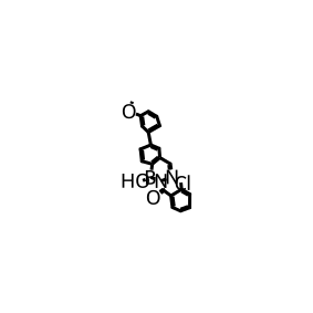 COc1cccc(-c2ccc3c(c2)C=NN(C(=O)c2ccccc2Cl)B3O)c1